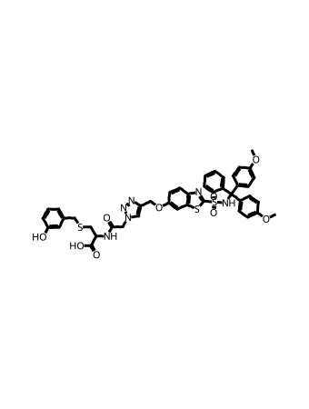 COc1ccc(C(NS(=O)(=O)c2nc3ccc(OCc4cn(CC(=O)NC(CSCc5cccc(O)c5)C(=O)O)nn4)cc3s2)(c2ccccc2)c2ccc(OC)cc2)cc1